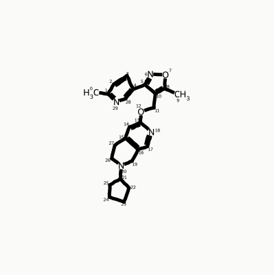 Cc1ccc(-c2noc(C)c2COc2cc3c(cn2)CN(C2CCCC2)CC3)cn1